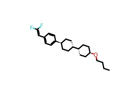 CCCCO[C@H]1CC[C@H]([C@H]2CC[C@H](c3ccc(C=C(F)F)cc3)CC2)CC1